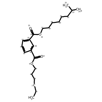 CCCCCCOC(=O)c1cccc(C(=O)OCCCCCCC(C)C)c1